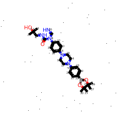 CC(C)(O)CNC(=O)N(C=N)c1ccc(N2CCN(c3ccc(B4OC(C)(C)C(C)(C)O4)cc3)CC2)cc1